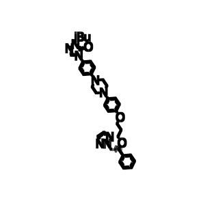 CCC(C)n1ncn(-c2ccc(N3CCN(c4ccc(OCCCO[C@@H](Cn5nccn5)c5ccccc5)cc4)CC3)cc2)c1=O